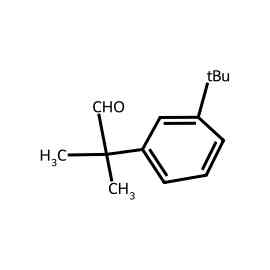 CC(C)(C)c1cccc(C(C)(C)C=O)c1